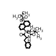 CN(C)S(=O)(=O)c1cccc2c(NC(=O)C(Cc3ccccc3)NC(=O)OC(C)(C)C)cccc12